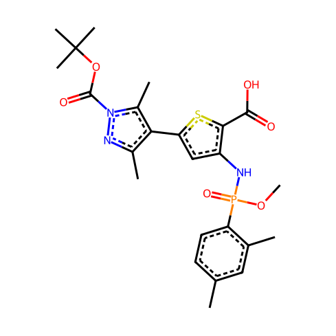 COP(=O)(Nc1cc(-c2c(C)nn(C(=O)OC(C)(C)C)c2C)sc1C(=O)O)c1ccc(C)cc1C